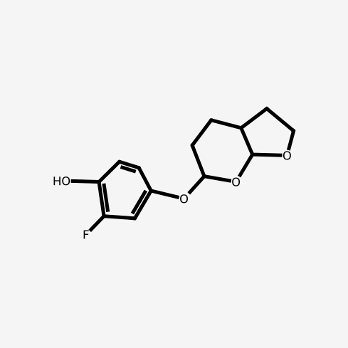 Oc1ccc(OC2CCC3CCOC3O2)cc1F